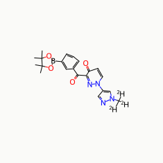 [2H]C([2H])([2H])n1cc(-n2ccc(=O)c(C(=O)c3cccc(B4OC(C)(C)C(C)(C)O4)c3)n2)cn1